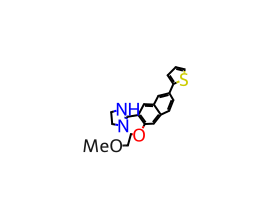 COCCOc1cc2ccc(-c3cccs3)cc2cc1C1=NCCN1